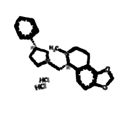 CN1CCc2c(ccc3c2OCO3)[C@@H]1CN1CC[C@H](c2ccccc2)C1.Cl.Cl